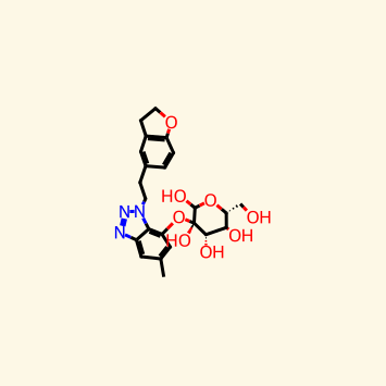 Cc1cc(O[C@]2(O)C(O)O[C@H](CO)[C@@H](O)[C@@H]2O)c2c(c1)nnn2CCc1ccc2c(c1)CCO2